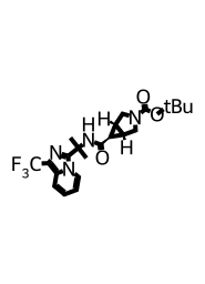 CC(C)(C)OC(=O)N1C[C@@H]2[C@H](C1)[C@H]2C(=O)NC(C)(C)c1nc(C(F)(F)F)c2ccccn12